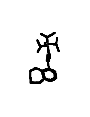 CC(C)[Si](C#Cc1cccc2c1CCCC2)(C(C)C)C(C)C